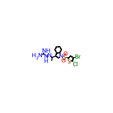 CC(=NNC(=N)N)c1cn(S(=O)(=O)c2cc(Br)c(Cl)s2)c2ccccc12